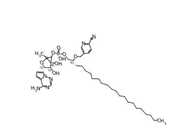 CCCCCCCCCCCCCCCCCCCC[C@H](COP(=O)(O)OC1[C@@]2(C)O[C@@H](c3ccc4c(N)ncnn34)[C@H](O)[C@@]12O)OCc1ccc(C#N)nc1